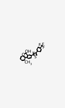 Cc1ccccc1-c1ccc(-c2nc(-c3ccc(C(F)(F)F)cc3)cs2)cc1C(=O)O